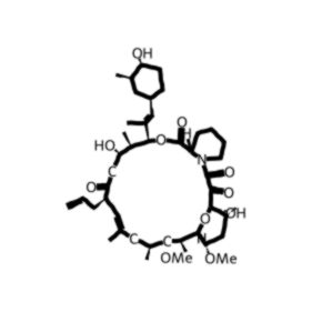 C=CC[C@@H]1/C=C(\C)C[C@H](C)C[C@H](OC)[C@H]2O[C@@](O)(C(=O)C(=O)N3CCCC[C@H]3C(=O)O[C@H](/C(C)=C/[C@@H]3CC[C@@H](O)[C@H](C)C3)[C@H](C)[C@@H](O)CC1=O)[C@H](C)C[C@@H]2OC